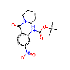 CC(C)(C)OC(=O)Nc1cc([N+](=O)[O-])ccc1C(=O)N1CCCCC1